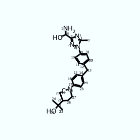 Cc1nc(C(N)O)nn1-c1ccc(Cc2ccc(N3CCC(C(C)(C)O)CC3)cc2)cc1